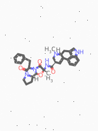 CN1C[C@H](C(=O)N[C@]2(C)OC3[C@@H]4CCCN4C(=O)C(Cc4ccccc4)N3C2=O)C=C2c3cccc4[nH]cc(c34)C[C@H]21